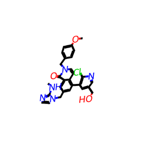 CNc1nccn1Cc1cc(-c2cc(CO)cnc2Cl)c2ccn(Cc3ccc(OC)cc3)c(=O)c2c1